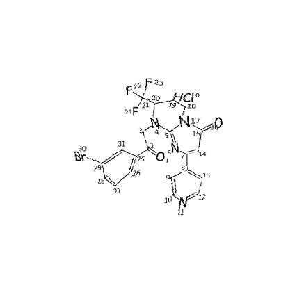 Cl.O=C(CN1c2nc(-c3ccncc3)cc(=O)n2CCC1C(F)(F)F)c1cccc(Br)c1